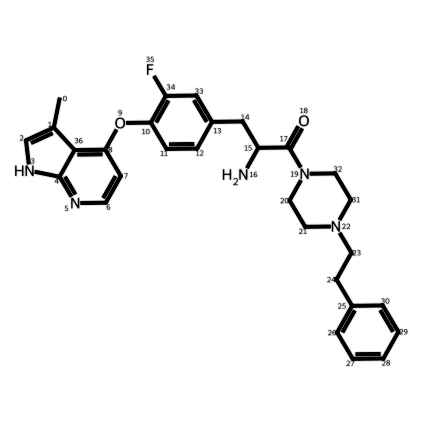 Cc1c[nH]c2nccc(Oc3ccc(CC(N)C(=O)N4CCN(CCc5ccccc5)CC4)cc3F)c12